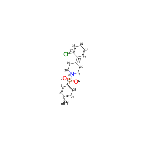 CC(C)c1ccc(S(=O)(=O)N2CCC(C3C=CCC=C3Cl)CC2)cc1